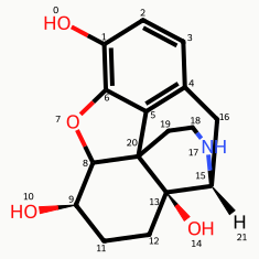 Oc1ccc2c3c1OC1[C@H](O)CC[C@@]4(O)[C@@H](C2)NCCC314